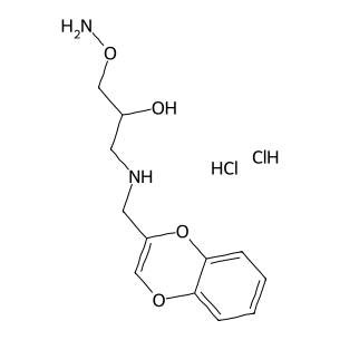 Cl.Cl.NOCC(O)CNCC1=COc2ccccc2O1